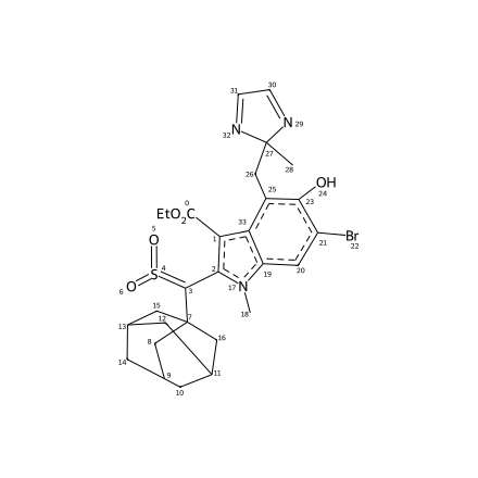 CCOC(=O)c1c(C(=S(=O)=O)C23CC4CC(CC(C4)C2)C3)n(C)c2cc(Br)c(O)c(CC3(C)N=CC=N3)c12